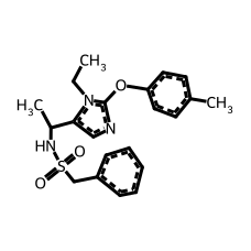 CCn1c(C(C)NS(=O)(=O)Cc2ccccc2)cnc1Oc1ccc(C)cc1